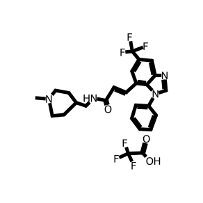 CN1CCC(CNC(=O)C=Cc2cc(C(F)(F)F)cc3ncn(-c4ccccc4)c23)CC1.O=C(O)C(F)(F)F